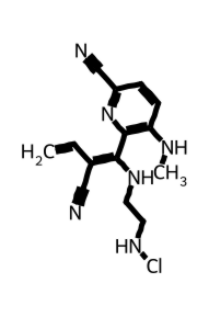 C=C/C(C#N)=C(/NCCNCl)c1nc(C#N)ccc1NC